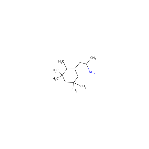 CC(N)CC1CC(C)(C)CC(C)(C)C1C